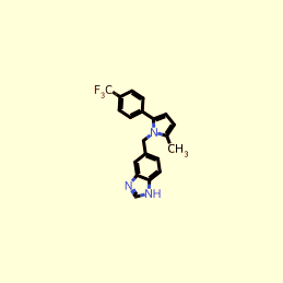 Cc1ccc(-c2ccc(C(F)(F)F)cc2)n1Cc1ccc2[nH]cnc2c1